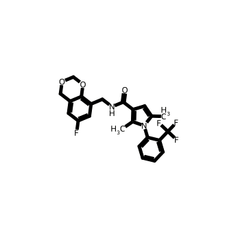 Cc1cc(C(=O)NCc2cc(F)cc3c2OCOC3)c(C)n1-c1ccccc1C(F)(F)F